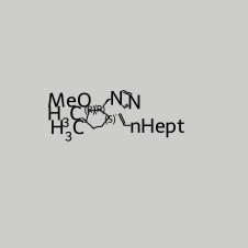 CCCCCCCC=C[C@@H]1CCC(C)(C)[C@H](OC)[C@H]1Cn1ccnc1